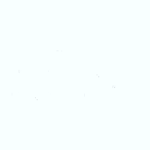 Cc1cc(N=CN2CCCCC2)c(Cl)cc1Oc1snc(C)c1Br